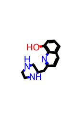 Oc1cccc2ccc(CC3CNCCN3)nc12